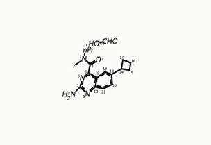 CCCN(C)C(=O)c1nc(N)nc2ccc(C3CCC3)cc12.O=CO